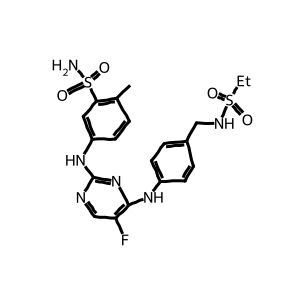 CCS(=O)(=O)NCc1ccc(Nc2nc(Nc3ccc(C)c(S(N)(=O)=O)c3)ncc2F)cc1